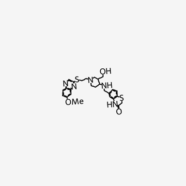 COc1ccc2ncc(SCCN3CCC(NCc4ccc5c(c4)NC(=O)CS5)C(CO)C3)nc2c1